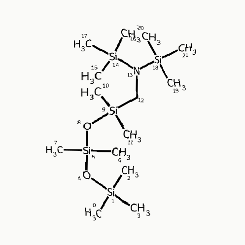 C[Si](C)(C)O[Si](C)(C)O[Si](C)(C)CN([Si](C)(C)C)[Si](C)(C)C